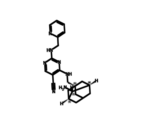 N#Cc1cnc(NCc2ccccn2)nc1NC[C@@]12CC3C[C@H](C1)[C@@H](N)[C@@H](C3)C2